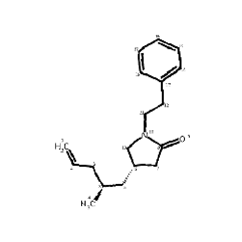 C=CC[C@H](C)C[C@H]1CC(=O)N(CCc2ccccc2)C1